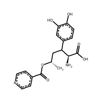 C[C@@H](CC(c1ccc(O)c(O)c1)[C@H](N)C(=O)O)OC(=O)c1ccncc1